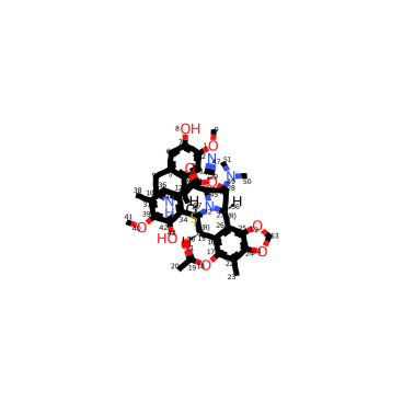 COc1cc2c(cc1O)CCN[C@@]21CS[C@@H]2c3c(OC(C)=O)c(C)c4c(c3[C@H](COC1=O)N1[C@@H]2c2c(cc(C)c(OC)c2O)C[C@@]1(C#N)CN(C)C)OCO4